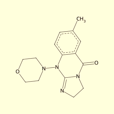 Cc1ccc2c(c1)C(=O)N1CCN=C1N2N1CCOCC1